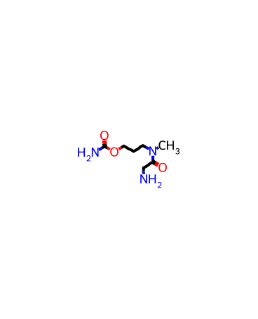 CN(CCCOC(N)=O)C(=O)CN